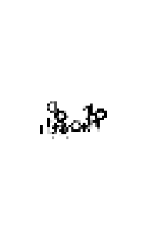 CN(C)c1cc(N[C@H]2CC[C@@H](N(C(N)=O)c3ccc(Cl)cc3C(F)(F)F)CC2)nc2ccccc12